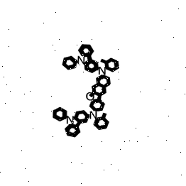 CC1CC=CC=C1N(C1C=C2c3ccccc3N(C3=CCCC=C3)C2CC1)C1CCC2=C(C1)OC1CC3C=C(N(c4ccc5c(c4)c4ccccc4n5C4=CCCC=C4)C4CC=CCC4C)CCC3=CC21